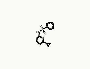 O=S(=O)(Nc1ccnc(C2CC2)n1)c1ccccc1